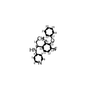 CC[C@H](Nc1ccncc1)c1ccc(F)c(Oc2ccccc2)c1F